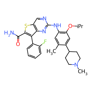 Cc1cc(Nc2ncc3sc(C(N)=O)c(-c4ccccc4F)c3n2)c(OC(C)C)cc1C1CCN(C)CC1